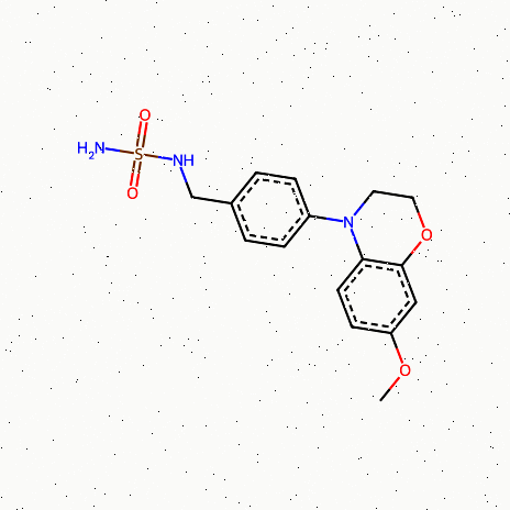 COc1ccc2c(c1)OCCN2c1ccc(CNS(N)(=O)=O)cc1